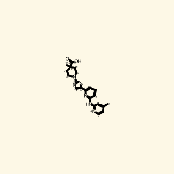 Cc1ccnc(Nc2cccc(-c3cnc(N4CCC(C)(C(=O)O)CC4)s3)n2)c1